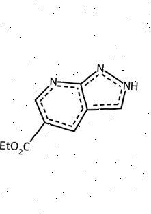 CCOC(=O)c1cnc2n[nH]cc2c1